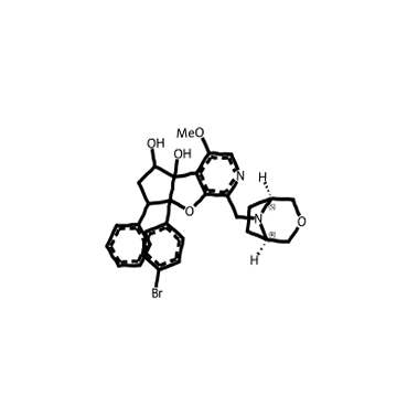 COc1cnc(CN2[C@@H]3CC[C@H]2COC3)c2c1C1(O)C(O)CC(c3ccccc3)C1(c1ccc(Br)cc1)O2